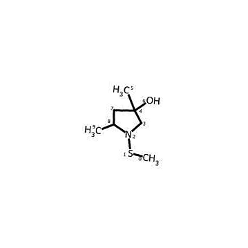 CSN1CC(C)(O)CC1C